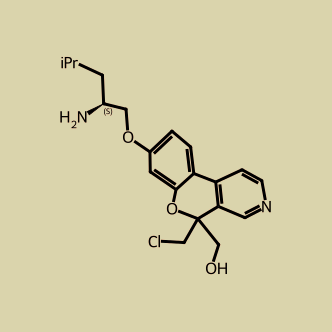 CC(C)C[C@H](N)COc1ccc2c(c1)OC(CO)(CCl)c1cnccc1-2